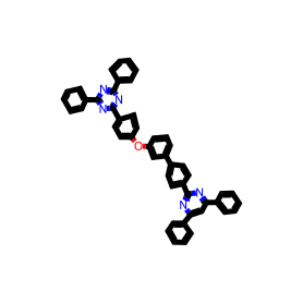 c1ccc(-c2cc(-c3ccccc3)nc(-c3ccc(-c4cccc(Oc5ccc(-c6nc(-c7ccccc7)nc(-c7ccccc7)n6)cc5)c4)cc3)n2)cc1